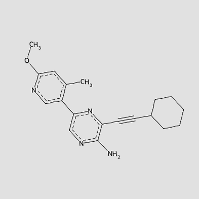 COc1cc(C)c(-c2cnc(N)c(C#CC3CCCCC3)n2)cn1